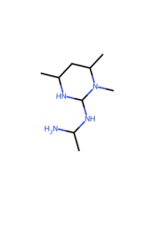 CC(N)NC1NC(C)CC(C)N1C